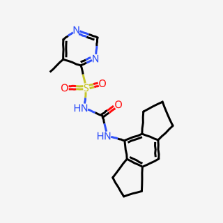 Cc1cncnc1S(=O)(=O)NC(=O)Nc1c2c(cc3c1CCC3)CCC2